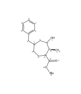 C[C@@H]1C(O)CN(Cc2ccccc2)CCN1C(=O)OC(C)(C)C